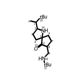 CC(C1CCC2(CCC(CNC(C)(C)C)C2=O)N1)C(C)(C)C